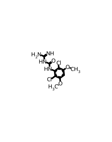 COc1cc(OC)c(Cl)c(NC(=O)NC(=N)N)c1Cl